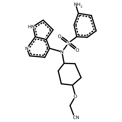 N#CCOC1CCC(N(c2ccnc3[nH]ccc23)S(=O)(=O)c2cccc(N)c2)CC1